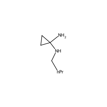 CCCCNC1(N)CC1